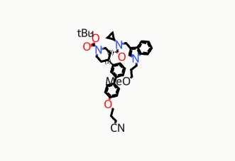 COCCCn1cc(CN(C(=O)[C@H]2CN(C(=O)OC(C)(C)C)CC[C@@H]2c2cccc(-c3ccc(OCCCC#N)cc3)c2)C2CC2)c2ccccc21